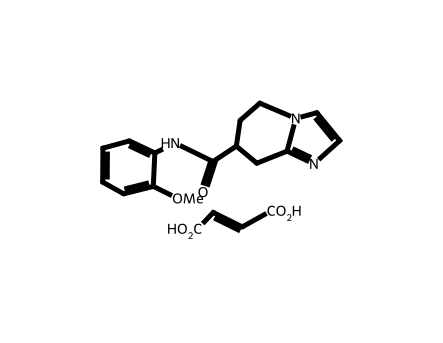 COc1ccccc1NC(=O)C1CCn2ccnc2C1.O=C(O)C=CC(=O)O